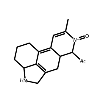 CC(=O)C1C2CC3=C4C(=C2C=C(C)[N+]1=O)CCCC4NC3